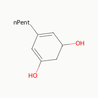 CCCCCC1=C[C](O)CC(O)=C1